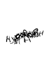 N=C(N)c1ccc(-c2ccc(C(=O)N[C@H]3CC[C@H](C(=O)O)CC3)cc2)cc1